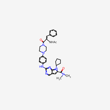 CC(=O)N/C(=C\c1ccccc1)C(=O)N1CCN(c2ccc(Nc3ncc4cc(C(=O)N(C)C)n(C5CCCC5)c4n3)cc2)CC1